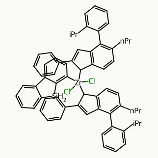 CCCc1ccc2c(c1-c1ccccc1C(C)C)C=C(c1ccccc1)[CH]2[Zr]([Cl])([Cl])([c]1cccc2c1[SiH2]c1ccccc1-2)[CH]1C(c2ccccc2)=Cc2c1ccc(CCC)c2-c1ccccc1C(C)C